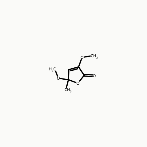 COC1=CC(C)(OC)OC1=O